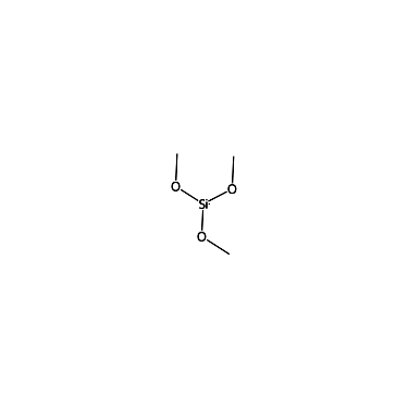 CO[Si](OC)OC